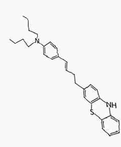 CCCCN(CCCC)c1ccc(C=CCCc2ccc3c(c2)Sc2ccccc2N3)cc1